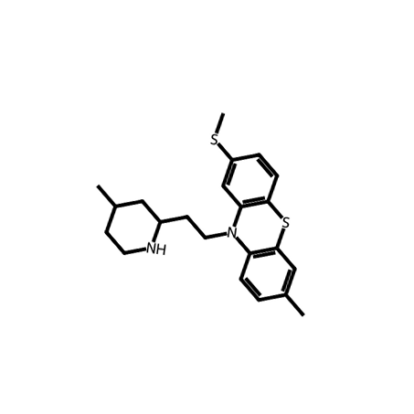 CSc1ccc2c(c1)N(CCC1CC(C)CCN1)c1ccc(C)cc1S2